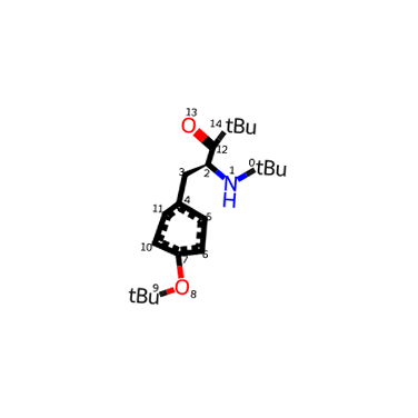 CC(C)(C)N[C@@H](Cc1ccc(OC(C)(C)C)cc1)C(=O)C(C)(C)C